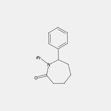 CC(C)N1C(=O)CCCCC1c1ccccc1